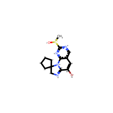 C[S+]([O-])c1ncc2c(n1)N1C(=NCC13CCCC3)C(Br)=C2